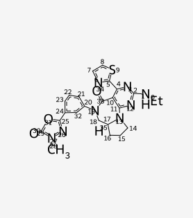 CCNc1nc(-c2nccs2)c2c(n1)N1CCC[C@H]1CN(c1cccc(-c3nn(C)c(=O)o3)c1)C2=O